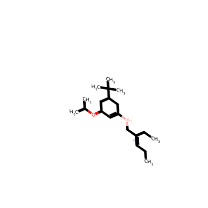 CC/C=C(\CC)CBC1=CC(OC(C)C)CC(C(C)(C)C)C1